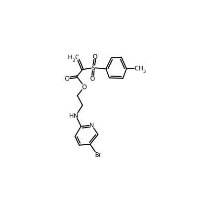 C=C(C(=O)OCCNc1ccc(Br)cn1)S(=O)(=O)c1ccc(C)cc1